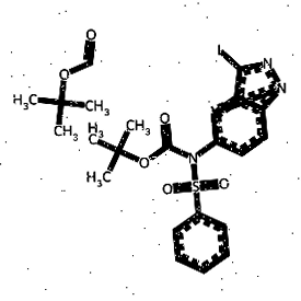 CC(C)(C)OC(=O)N(c1ccc2c3c(I)nn2c13)S(=O)(=O)c1ccccc1.CC(C)(C)OC=O